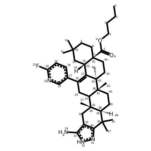 CCCCOC(=O)[C@]12CCC(C)(C)C[C@H]1C1=C(c3ccc(F)nc3)CC3[C@@]4(C)Cc5c(n[nH]c5N)C(C)(C)[C@@H]4CC[C@@]3(C)[C@]1(C)CC2